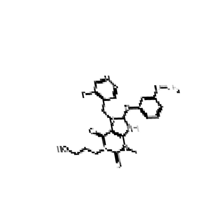 Cn1c2c(c(=O)n(CCCO)c1=O)N(Cc1ccncc1F)C(Oc1cccc(OC(F)(F)F)c1)N2